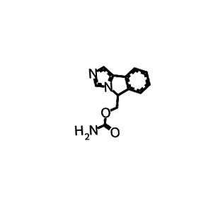 NC(=O)OCC1c2ccccc2-c2cncn21